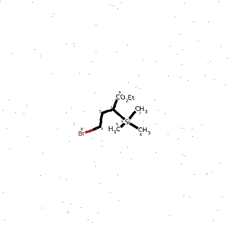 CCOC(=O)C(CCBr)[Si](C)(C)C